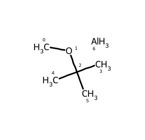 COC(C)(C)C.[AlH3]